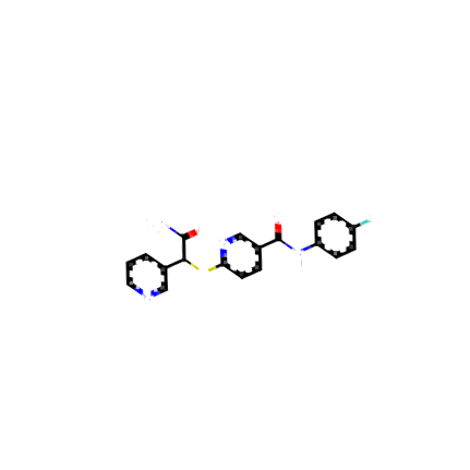 NC(=O)C(Sc1ccc(C(=O)Nc2ccc(F)cc2)cn1)c1cccnc1